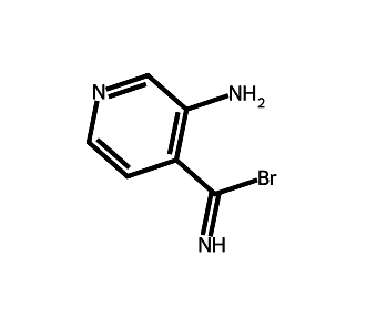 N=C(Br)c1ccncc1N